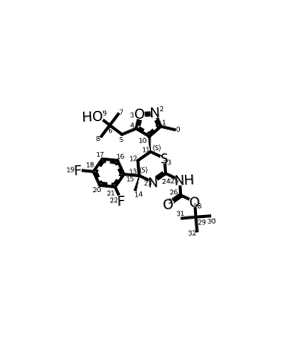 Cc1noc(CC(C)(C)O)c1[C@@H]1C[C@@](C)(c2ccc(F)cc2F)N=C(NC(=O)OC(C)(C)C)S1